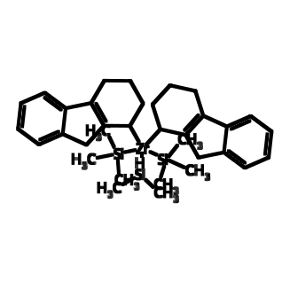 C[SiH](C)[Zr]([CH]1CCCC2=C1Cc1ccccc12)([CH]1CCCC2=C1Cc1ccccc12)([Si](C)(C)C)[Si](C)(C)C